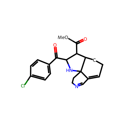 COC(=O)C1C(C(=O)c2ccc(Cl)cc2)NC23CCN=CC2=CCCC13